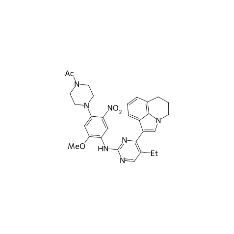 CCc1cnc(Nc2cc([N+](=O)[O-])c(N3CCN(C(C)=O)CC3)cc2OC)nc1-c1cn2c3c(cccc13)CCC2